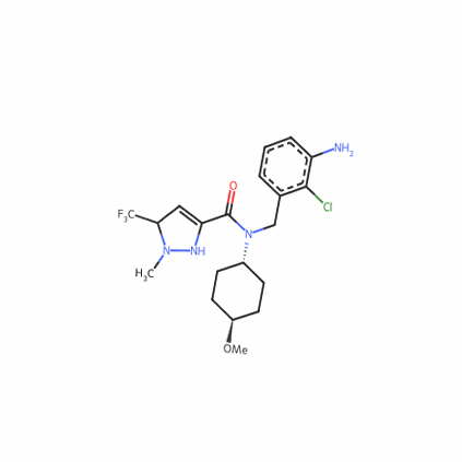 CO[C@H]1CC[C@H](N(Cc2cccc(N)c2Cl)C(=O)C2=CC(C(F)(F)F)N(C)N2)CC1